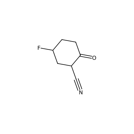 N#CC1CC(F)CCC1=O